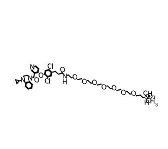 C[SH](C)(=O)CCCOCCOCCOCCOCCOCCOCCOCCNC(=O)CCc1cc(Cl)c(Oc2ccncc2C(=O)N2CCN(C3CC3)c3ccccc32)cc1Cl